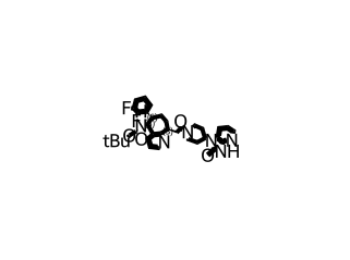 CC(C)(C)OC(=O)N[C@@H]1c2cccnc2[C@H](CC(=O)N2CCC(n3c(=O)[nH]c4ncccc43)CC2)CC[C@H]1c1cccc(F)c1F